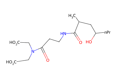 CCCC(O)CC(C)C(=O)NCCC(=O)N(CC(=O)O)CC(=O)O